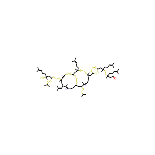 CC(C)=CCCC(C)(S)CC(SSSC1(C)/C=C\SSC2CC(C)(CCC=C(C)C)SSSC(C)(CC3SSSC(CC(C)(CCC=C(C)C)SSC(C)(CC=O)CCC=C(C)C)SS3)CC/C=C(\C)C(SSC(C)C)CC(C)(CC/C=C(\C)C(C=C(C)C)C1)SSS2)SSC(C)C